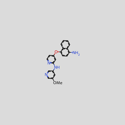 COc1cncc(Nc2cc(Oc3ccc(N)c4ccccc34)ccn2)c1